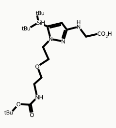 CC(C)(C)OC(=O)NCCOCCn1nc(NCC(=O)O)cc1[SiH](C(C)(C)C)C(C)(C)C